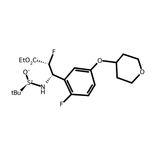 CCOC(=O)[C@H](F)[C@@H](N[S@+]([O-])C(C)(C)C)c1cc(OC2CCOCC2)ccc1F